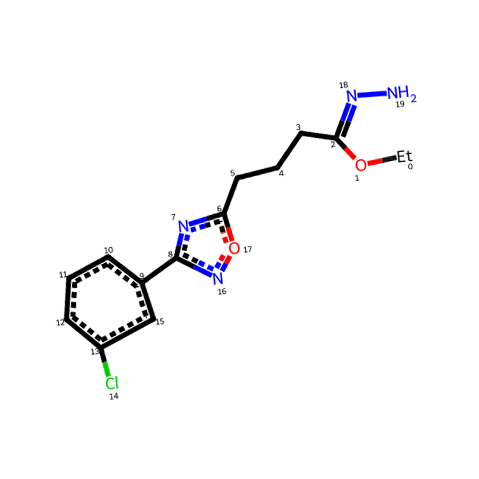 CCOC(CCCc1nc(-c2cccc(Cl)c2)no1)=NN